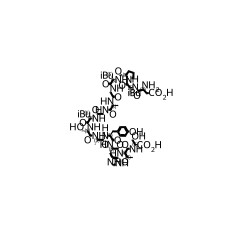 CC[C@H](C)[C@H](NC(=O)CNC(=O)[C@H](C)NC(=O)CNC(=O)[C@@H](NC(=O)[C@@H]1CCCN1C(=O)[C@@H](NC(=O)[C@@H](N)CC(=O)O)[C@@H](C)CC)[C@@H](C)CC)C(=O)N[C@@H](CO)C(=O)N[C@@H](C)C(=O)N[C@@H](Cc1ccc(O)cc1)C(=O)N[C@@H](Cc1c[nH]cn1)C(=O)N[C@H](C(=O)N[C@@H](CO)C(=O)O)[C@@H](C)O